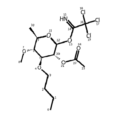 CCCCO[C@H]1[C@H](OC)[C@@H](C)OC(OC(=N)C(Cl)(Cl)Cl)[C@@H]1OC(C)=O